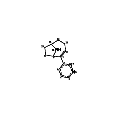 C1=C(c2cccnn2)C2CCC(CC1)N2